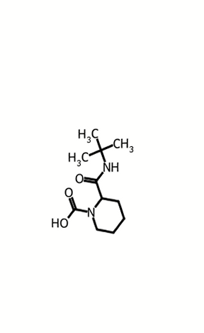 CC(C)(C)NC(=O)C1CCCCN1C(=O)O